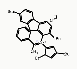 CCC1C=C(C(C)(C)C)C=[C]1/[Zr+2](=[C](\C)c1ccccc1)[c]1c(C(C)(C)C)ccc2c1Cc1cc(C(C)(C)C)ccc1-2.[Cl-].[Cl-]